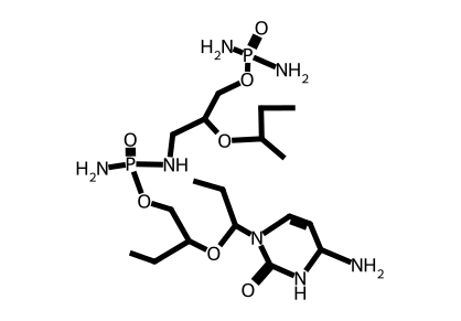 CCC(C)OC(CNP(N)(=O)OCC(CC)OC(CC)N1C=CC(N)NC1=O)COP(N)(N)=O